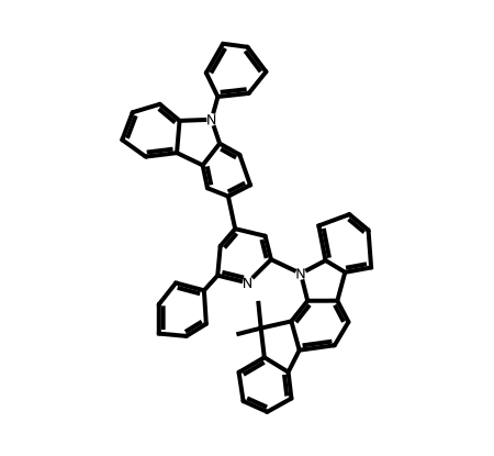 CC1(C)c2ccccc2-c2ccc3c4ccccc4n(-c4cc(-c5ccc6c(c5)c5ccccc5n6-c5ccccc5)cc(-c5ccccc5)n4)c3c21